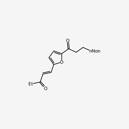 CCCCCCCCCCCC(=O)c1ccc(C=CC(=O)CC)o1